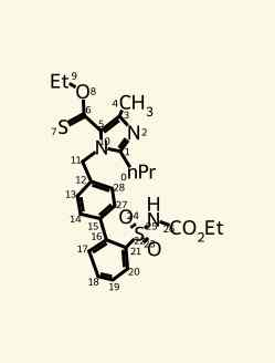 CCCc1nc(C)c(C(=S)OCC)n1Cc1ccc(-c2ccccc2S(=O)(=O)NC(=O)OCC)cc1